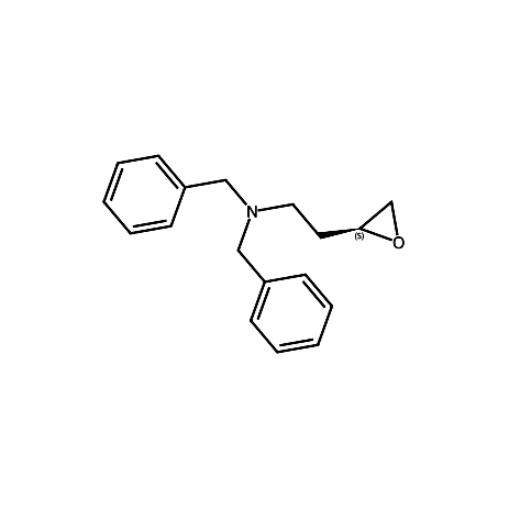 c1ccc(CN(CC[C@H]2CO2)Cc2ccccc2)cc1